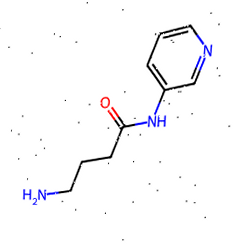 NCCCC(=O)Nc1c[c]cnc1